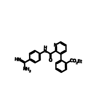 CCOC(=O)c1ccccc1-c1cccnc1C(=O)Nc1ccc(C(=N)N)cc1